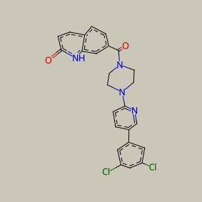 O=C(c1ccc2ccc(=O)[nH]c2c1)N1CCN(c2ccc(-c3cc(Cl)cc(Cl)c3)cn2)CC1